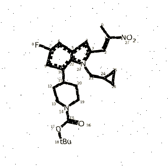 C/C(=C\c1cc2cc(F)cc(C3CCN(C(=O)OC(C)(C)C)CC3)c2n1CC1CC1)[N+](=O)[O-]